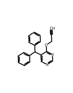 C#CCOc1ncncc1C(c1ccccc1)c1ccccc1